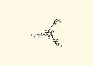 C=CC(=O)OCCCCn1c(=O)n(CCCOC(=O)C=C)c(=O)n(CCCOC(=O)C=C)c1=O